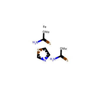 COC(N)=S.COC(N)=S.[Fe].c1cscn1